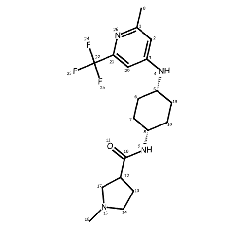 Cc1cc(N[C@H]2CC[C@@H](NC(=O)C3CCN(C)C3)CC2)cc(C(F)(F)F)n1